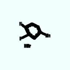 Br.Fc1cc[c]([Zn])cc1F